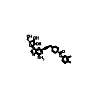 Cc1ccc(OC(=O)N2CCC(CC#Cc3nc(N)c4ncn([C@@H]5O[C@H](CO)C(O)C5O)c4n3)CC2)cc1C